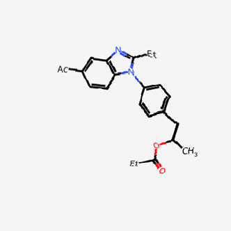 CCC(=O)OC(C)Cc1ccc(-n2c(CC)nc3cc(C(C)=O)ccc32)cc1